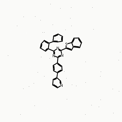 c1ccc(-c2ccccc2-c2nc(-c3ccc(-c4cccnc4)cc3)nc(-c3cc4ccccc4s3)n2)cc1